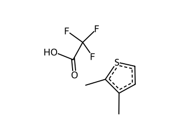 Cc1ccsc1C.O=C(O)C(F)(F)F